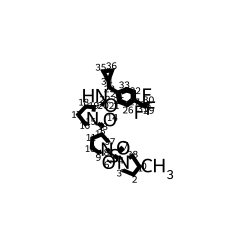 C[C@@H]1CCN(S(=O)(=O)N2CCC[C@H](C(=O)N3CCC[C@@H]3C(=O)N[C@@H](c3ccc(C(F)(F)F)cc3)C3CC3)C2)C1